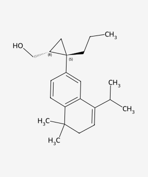 CCC[C@]1(c2ccc3c(c2)C(C(C)C)=CCC3(C)C)C[C@H]1CO